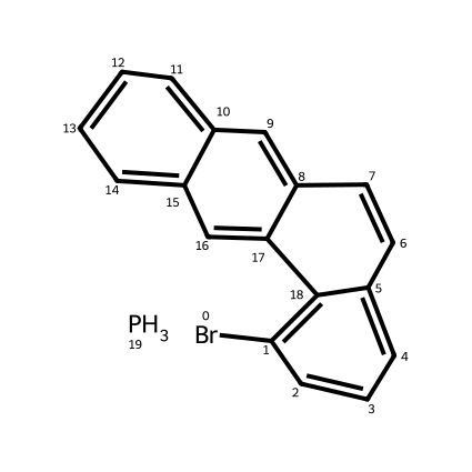 Brc1cccc2ccc3cc4ccccc4cc3c12.P